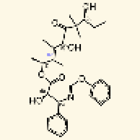 CC[C@H](O)C(C)(C)C(=O)[C@H](O)/C(C)=C(\C)[C@H](C)OC(=O)[C@H](O)[C@@H](N=COc1ccccc1)c1ccccc1